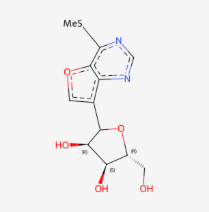 CSc1ncnc2c(C3O[C@H](CO)[C@@H](O)[C@H]3O)coc12